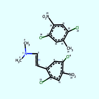 CN(C)/C=C/c1cc(Cl)c([N+](=O)[O-])cc1Cl.Cc1cc(Cl)c([N+](=O)[O-])cc1Cl